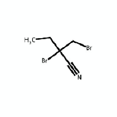 CCC(Br)(C#N)CBr